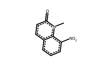 Cn1c(=O)ccc2cccc([N+](=O)[O-])c21